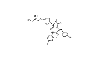 O=C(Nc1ccc(I)cc1F)[C@H](Cc1ccc(Br)s1)N1C(=O)N[C@H](c2ccc(OC[C@@H](O)CO)cc2)C1=O